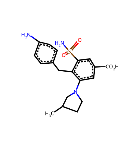 CC1CCN(c2cc(C(=O)O)cc(S(N)(=O)=O)c2Cc2ccc(N)cc2)C1